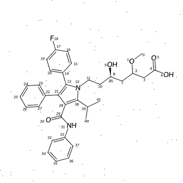 COC(CC(=O)O)C[C@H](O)CCn1c(-c2ccc(F)cc2)c(-c2ccccc2)c(C(=O)Nc2ccccc2)c1C(C)C